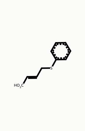 O=C(O)/C=C/CSc1ccccc1